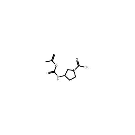 C=C(C)OC(=O)NC1CCN(C(=O)C(C)(C)C)C1